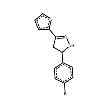 CCc1ccc(C2CC(c3cccs3)=NN2)cc1